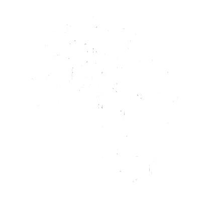 c1ccc(-c2cccc(-c3nc(-c4cccc(-c5ccccc5)c4)nc(-n4c5ccccc5c5ccc6c7ccc8c9ccccc9n(-c9ccccc9-c9ccccc9)c8c7oc6c54)n3)c2)cc1